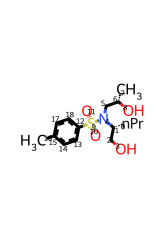 CCC[C@H](CO)N(C[C@H](C)O)S(=O)(=O)c1ccc(C)cc1